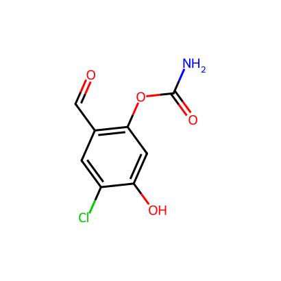 NC(=O)Oc1cc(O)c(Cl)cc1C=O